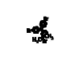 C\C=C/C(=C\C=C(/C)Br)N(c1ccc(Br)cc1)c1ccc(Br)cc1